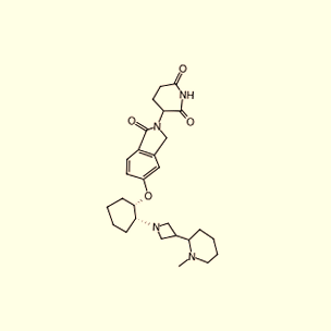 CN1CCCCC1C1CN([C@@H]2CCCC[C@@H]2Oc2ccc3c(c2)CN(C2CCC(=O)NC2=O)C3=O)C1